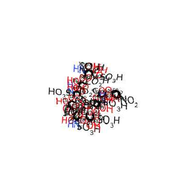 O=C(O)[C@H]1O[C@@H](O[C@H]2[C@H](O)[C@@H](NS(=O)(=O)O)[C@@H](O[C@H]3[C@H](O)[C@@H](OS(=O)(=O)O)[C@H](O[C@H]4[C@H](O)[C@@H](NS(=O)(=O)O)[C@@H](O[C@H]5[C@H](O)[C@@H](OS(=O)(=O)O)[C@H](O[C@H]6[C@H](O)[C@@H](NS(=O)(=O)O)[C@@H](O[C@H]7[C@H](O)[C@@H](O)C(Oc8ccc([N+](=O)[O-])cc8)O[C@@H]7C(=O)O)O[C@@H]6COS(=O)(=O)O)O[C@@H]5C(=O)O)O[C@@H]4COS(=O)(=O)O)O[C@@H]3C(=O)O)O[C@@H]2COS(=O)(=O)O)[C@H](O)[C@@H](O)[C@@H]1O[C@H]1O[C@H](COS(=O)(=O)O)[C@@H](O)[C@H](O)[C@H]1NS(=O)(=O)O